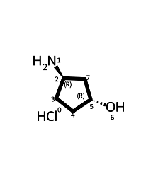 Cl.N[C@@H]1CC[C@@H](O)C1